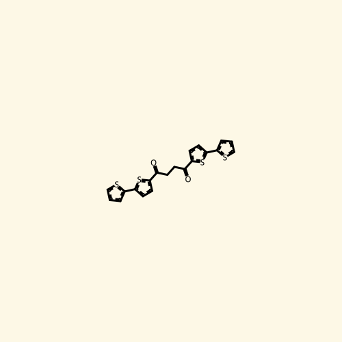 O=C(CCC(=O)c1ccc(-c2cccs2)s1)c1ccc(-c2cccs2)s1